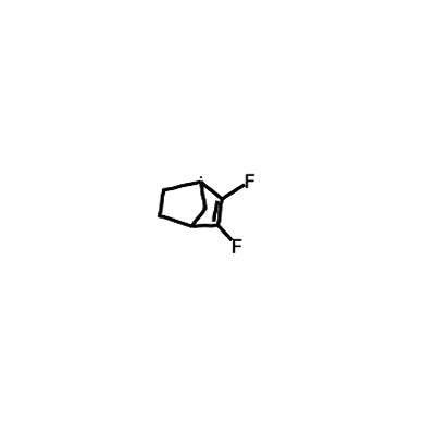 FC1=C(F)C2CC[C]1C2